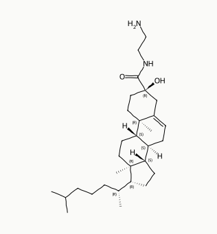 CC(C)CCC[C@@H](C)[C@H]1CC[C@H]2[C@@H]3CC=C4C[C@@](O)(C(=O)NCCN)CC[C@]4(C)[C@H]3CC[C@]12C